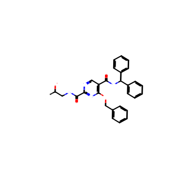 CCOC(=O)C(O)CNC(=O)c1ncc(C(=O)NC(c2ccccc2)c2ccccc2)c(OCc2ccccc2)n1